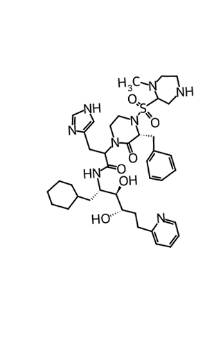 CN1CCNCC1S(=O)(=O)N1CCN(C(Cc2c[nH]cn2)C(=O)N[C@@H](CC2CCCCC2)[C@@H](O)[C@@H](O)CCc2ccccn2)C(=O)[C@H]1Cc1ccccc1